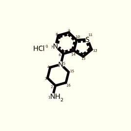 Cl.NC1CCN(c2nccc3sccc23)CC1